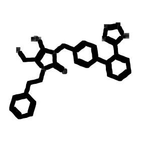 CCCCc1c(CF)n(CCc2ccccc2)c(=O)n1Cc1ccc(-c2ccccc2-c2nnn[nH]2)cc1